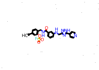 C#Cc1ccc(CNC(=O)c2cccc(NCc3n[nH]c(-c4ccncc4)n3)c2)c(OS(=O)(=O)F)c1